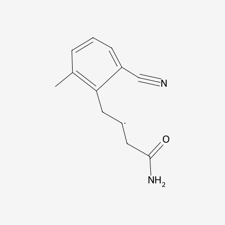 Cc1cccc(C#N)c1C[CH]CC(N)=O